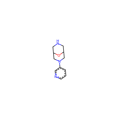 c1cncc(N2CC3CNCC(C2)O3)c1